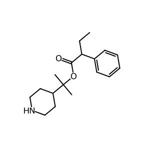 CCC(C(=O)OC(C)(C)C1CCNCC1)c1ccccc1